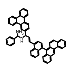 NC(NC(/C=C/c1ccc(-c2c3ccccc3cc3c2ccc2ccccc23)c2ccccc12)c1ccc2c3ccccc3c3ccccc3c2c1)c1ccccc1